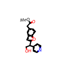 COC(=O)Cc1ccc2oc(C(CO)c3ccncc3)cc2c1